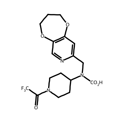 O=C(O)N(Cc1cc2c(cn1)OCCCO2)C1CCN(C(=O)C(F)(F)F)CC1